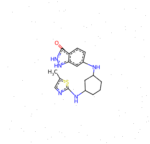 Cc1cnc(NC2CCCC(Nc3ccc4c(=O)[nH][nH]c4c3)C2)s1